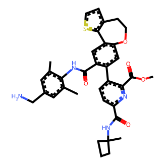 COC(=O)c1nc(C(=O)NC2(C)CCC2)ccc1-c1cc2c(cc1C(=O)Nc1c(C)cc(CN)cc1C)-c1sccc1CCO2